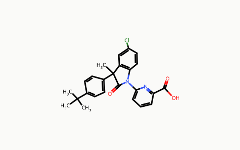 CC(C)(C)c1ccc(C2(C)C(=O)N(c3cccc(C(=O)O)n3)c3ccc(Cl)cc32)cc1